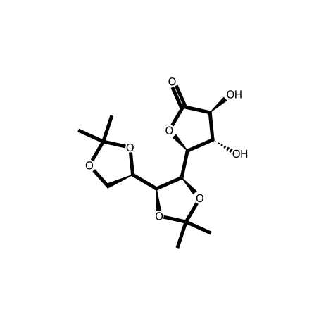 CC1(C)O[C@H]([C@H]2OC(=O)[C@@H](O)[C@@H]2O)[C@H]([C@H]2COC(C)(C)O2)O1